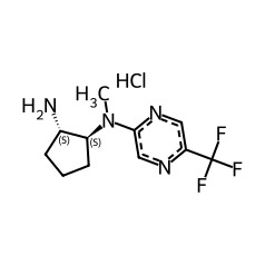 CN(c1cnc(C(F)(F)F)cn1)[C@H]1CCC[C@@H]1N.Cl